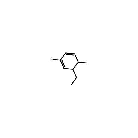 CCC1C=C(F)C=CC1C